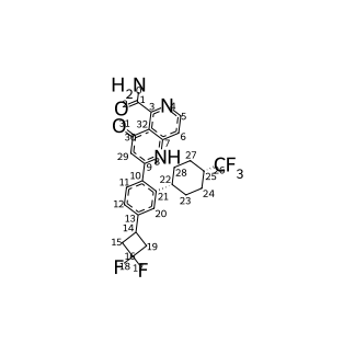 NC(=O)c1nccc2[nH]c(-c3ccc(C4CC(F)(F)C4)cc3[C@H]3CC[C@@H](C(F)(F)F)CC3)cc(=O)c12